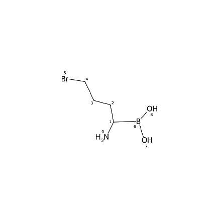 NC(CCCBr)B(O)O